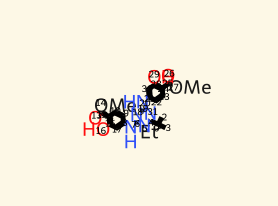 CCC(C)(C)c1nc(Nc2ccc(C(=O)OC)c(O)c2)nc(Nc2ccc(C(=O)OC)c(O)c2)n1